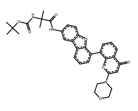 CC(C)(C)OC(=O)NC(C)(C)C(=O)Nc1ccc2sc3c(-c4cccc5c(=O)cc(N6CCOCC6)oc45)cccc3c2c1